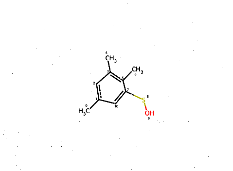 Cc1cc(C)c(C)c(SO)c1